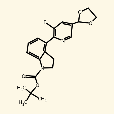 CC(C)(C)OC(=O)N1CCc2c(-c3ncc(C4OCCO4)cc3F)cccc21